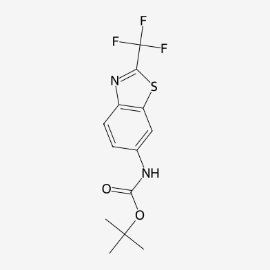 CC(C)(C)OC(=O)Nc1ccc2nc(C(F)(F)F)sc2c1